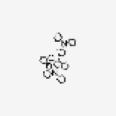 c1ccc(N(c2ccccc2)c2ccc(-c3c4c(c(N(c5ccccc5)c5ccccc5)c5ccccc35)Oc3ccccc3O4)cc2)cc1